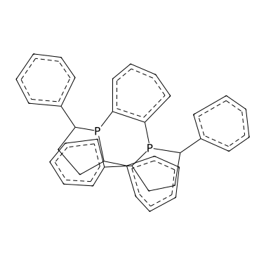 c1ccc(C2CCC(c3ccccc3)P2c2ccccc2P2C(c3ccccc3)CCC2c2ccccc2)cc1